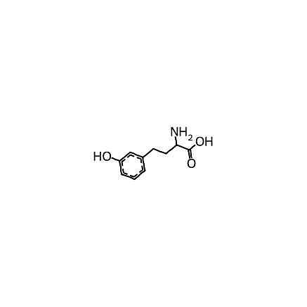 NC(CCc1cccc(O)c1)C(=O)O